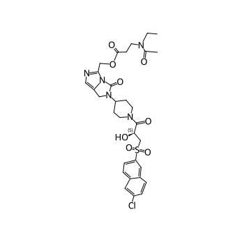 CCN(CCC(=O)OCc1ncc2n1C(=O)N(C1CCN(C(=O)[C@H](O)CS(=O)(=O)c3ccc4cc(Cl)ccc4c3)CC1)C2)C(C)=O